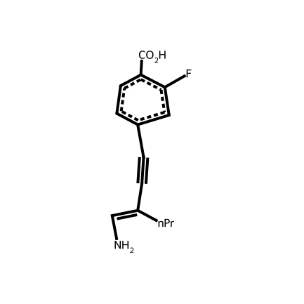 CCC/C(C#Cc1ccc(C(=O)O)c(F)c1)=C\N